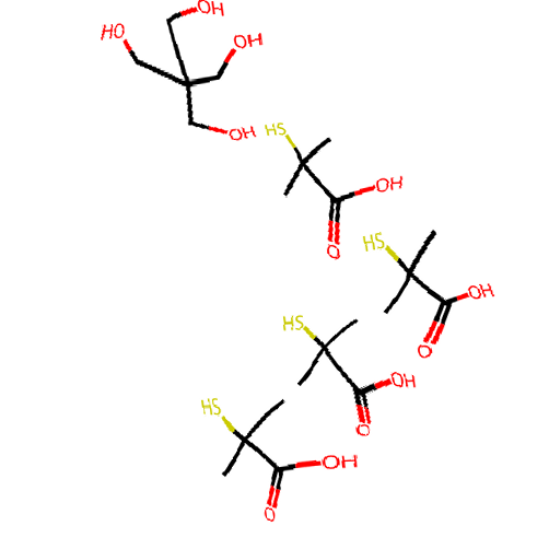 CC(C)(S)C(=O)O.CC(C)(S)C(=O)O.CC(C)(S)C(=O)O.CC(C)(S)C(=O)O.OCC(CO)(CO)CO